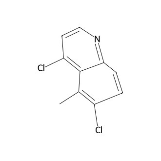 Cc1c(Cl)ccc2nccc(Cl)c12